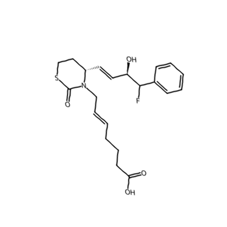 O=C(O)CCCC=CCN1C(=O)SCC[C@@H]1C=C[C@@H](O)C(F)c1ccccc1